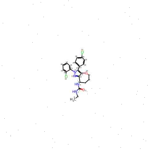 CCNC(=O)NC1CCCOc2c1nn(-c1ccccc1Cl)c2-c1ccc(Cl)cc1